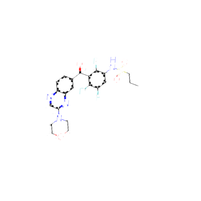 CCCS(=O)(=O)Nc1cc(F)c(F)c(C(=O)c2ccc3ncc(N4CCOCC4)nc3c2)c1F